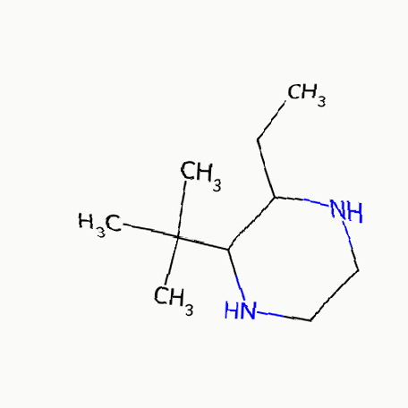 CCC1NCCNC1C(C)(C)C